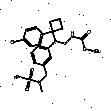 CCCS(=O)(=O)N(C)Cc1cccc(C(CNC(=O)OC(C)(C)C)C2(c3ccc(Cl)cc3)CCC2)c1